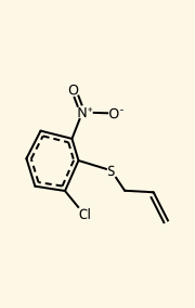 C=CCSc1c(Cl)cccc1[N+](=O)[O-]